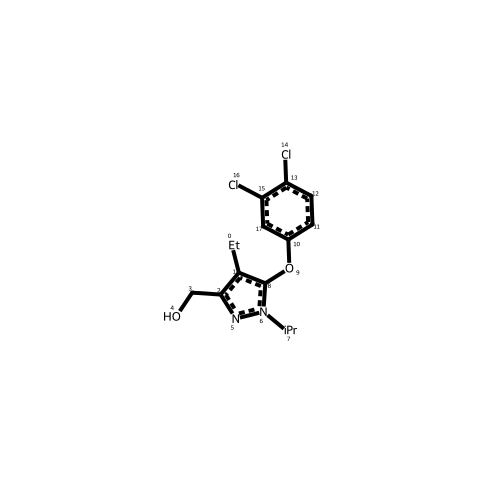 CCc1c(CO)nn(C(C)C)c1Oc1ccc(Cl)c(Cl)c1